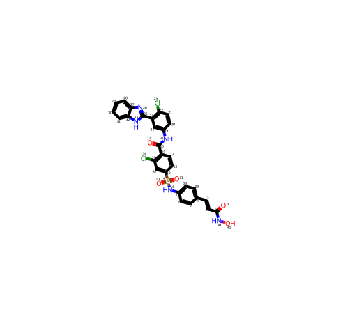 O=C(/C=C/c1ccc(NS(=O)(=O)c2ccc(C(=O)Nc3ccc(Cl)c(-c4nc5ccccc5[nH]4)c3)c(Cl)c2)cc1)NO